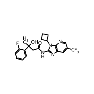 CC(O)(CC(=O)Nc1nc2cc(C(F)(F)F)cnc2n1C1CCC1)c1ccccc1F